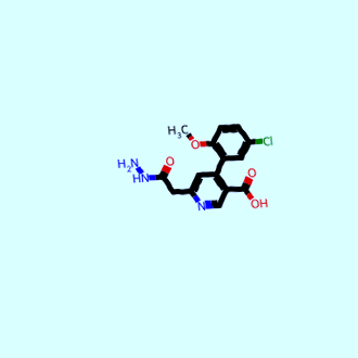 COc1ccc(Cl)cc1-c1cc(CC(=O)NN)ncc1C(=O)O